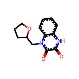 O=c1[nH]c2ccccc2n(CC2CCCO2)c1=O